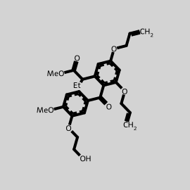 C=CCOc1cc(OCC=C)c(C(=O)c2ccc(OC)c(OCCO)c2)c(C(CC)C(=O)OC)c1